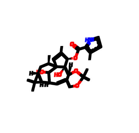 CC1=C[C@]23C(O)[C@@H](C=C4COC(C)(C)O[C@H]4[C@]2(O)[C@H]1OC(=O)c1[nH]ccc1C)[C@H]1[C@@H](C[C@H]3C)C1(C)C